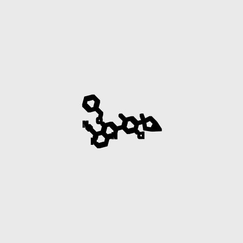 Cc1cc(C2(C)CC3CC3C2)c(Cl)cc1-c1cc(OCc2ccccc2)c2c(C#N)nccc2n1